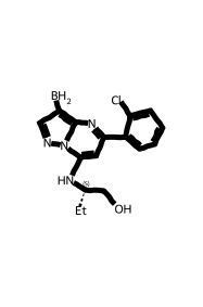 Bc1cnn2c(N[C@@H](CC)CO)cc(-c3ccccc3Cl)nc12